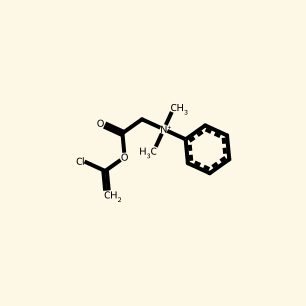 C=C(Cl)OC(=O)C[N+](C)(C)c1ccccc1